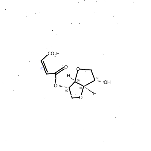 O=C(O)/C=C\C(=O)O[C@H]1CO[C@H]2[C@@H]1OC[C@@H]2O